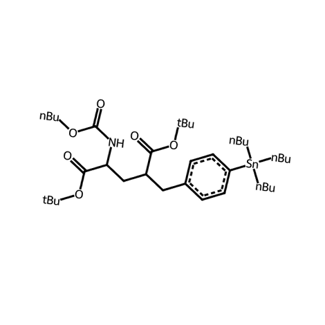 CCCCOC(=O)NC(CC(Cc1cc[c]([Sn]([CH2]CCC)([CH2]CCC)[CH2]CCC)cc1)C(=O)OC(C)(C)C)C(=O)OC(C)(C)C